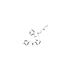 O=C(O)CCC(=O)OCC(=O)NC(Sc1ncccc1C(=O)Nc1ccc(OC(F)(F)F)cc1)c1ccncc1